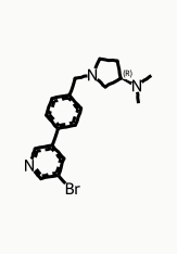 CN(C)[C@@H]1CCN(Cc2ccc(-c3cncc(Br)c3)cc2)C1